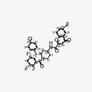 Cc1c(F)cc(F)cc1C(=O)N1CC[C@H](NC(=O)c2cc(=O)c3cc(F)ccc3o2)C[C@H]1Cc1ccc(Cl)cc1